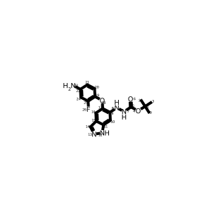 CC(C)(C)OC(=O)NNc1cc2[nH]ncc2cc1Oc1ccc(N)cc1F